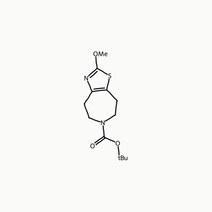 COc1nc2c(s1)CCN(C(=O)OC(C)(C)C)CC2